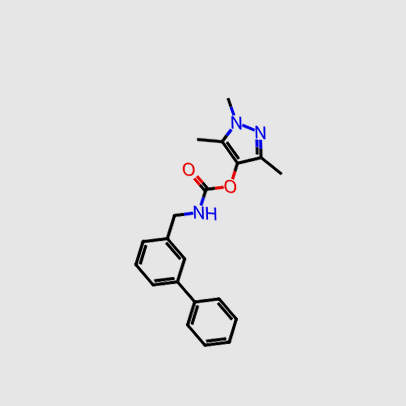 Cc1nn(C)c(C)c1OC(=O)NCc1cccc(-c2ccccc2)c1